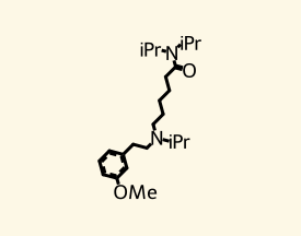 COc1cccc(CCN(CCCCCC(=O)N(C(C)C)C(C)C)C(C)C)c1